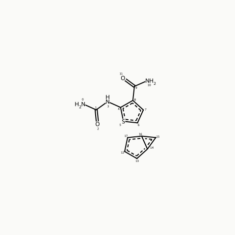 NC(=O)Nc1sccc1C(N)=O.c1cc2cc-2c1